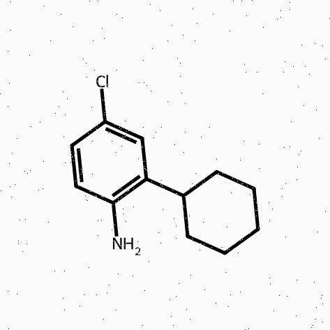 Nc1ccc(Cl)cc1C1CCCCC1